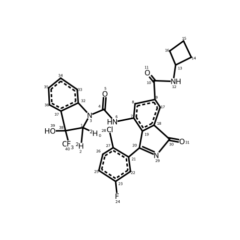 [2H]C1([2H])N(C(=O)Nc2cc(C(=O)NC3CCC3)cc3c2C(c2cc(F)ccc2Cl)=NC3=O)c2ccccc2C1(O)C(F)(F)F